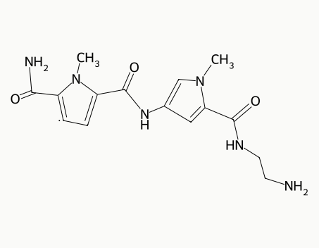 Cn1cc(NC(=O)c2c[c]c(C(N)=O)n2C)cc1C(=O)NCCN